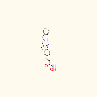 C[C@@H]1C=CC(CNCc2nc3cc(/C=C/C(=O)NO)ccc3n2C)=CC1